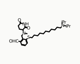 CC(C)N(CCCCCCCCCCCSc1cccc(C=O)c1CN(C)C1CCC(=O)NC1=O)C(C)C